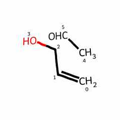 C=CCO.CC=O